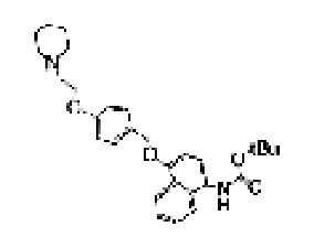 CC(C)(C)OC(=O)Nc1ccc(OCc2ccc(OCCN3CCCCC3)cc2)c2ccccc12